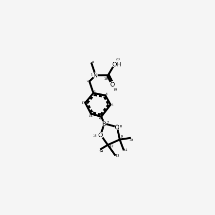 CN(Cc1ccc(B2OC(C)(C)C(C)(C)O2)cc1)C(=O)O